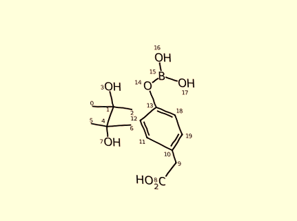 CC(C)(O)C(C)(C)O.O=C(O)Cc1ccc(OB(O)O)cc1